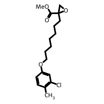 COC(=O)C1(CCCCCCCOc2ccc(C)c(Cl)c2)CO1